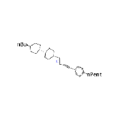 CCCCCc1ccc(C#C/C=C/C2CCC([C@H]3CC[C@H](CCCC)CC3)CC2)cc1